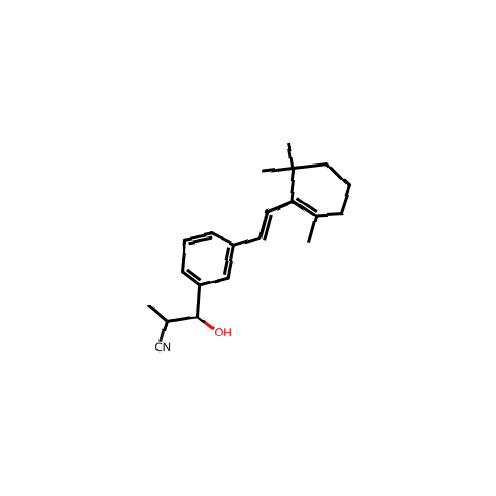 CC1=C(/C=C/c2cccc(C(O)C(C)C#N)c2)C(C)(C)CCC1